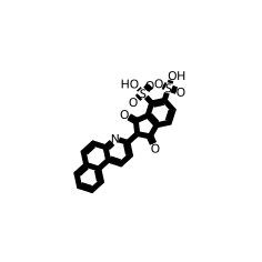 O=C1c2ccc(S(=O)(=O)O)c(S(=O)(=O)O)c2C(=O)C1c1ccc2c(ccc3ccccc32)n1